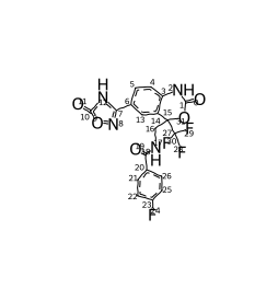 O=C1Nc2ccc(-c3noc(=O)[nH]3)cc2C(CNC(=O)c2ccc(F)cc2)(C(F)(F)F)O1